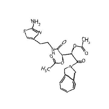 CC(=O)O[C@@H](C(=O)NCCc1csc(N)n1)[C@@H](OC(C)=O)C(=O)N1Cc2ccccc2C1